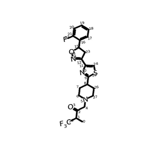 CC(C(=O)CN1CCC(c2nc(C3=NOC(c4ccccc4F)C3)cs2)CC1)C(F)(F)F